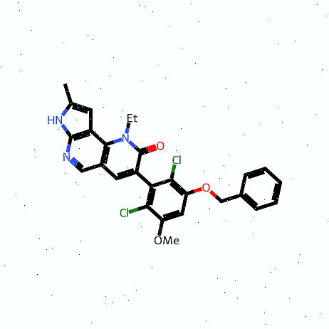 CCn1c(=O)c(-c2c(Cl)c(OC)cc(OCc3ccccc3)c2Cl)cc2cnc3[nH]c(C)cc3c21